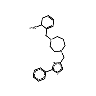 COC1CC=CC=C1CN1CCCN(Cc2csc(-c3ccccc3)n2)CC1